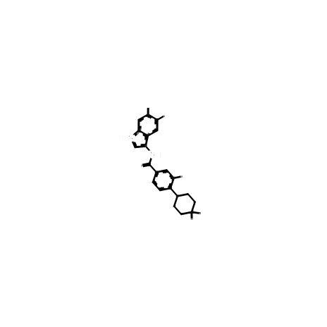 O=C(Nc1c[nH]c2cc(F)c(F)cc12)c1ccc(C2CCC(F)(F)CC2)c(Cl)c1